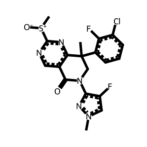 Cn1cc(F)c(N2CC(C)(c3cccc(Cl)c3F)c3nc([S+](C)[O-])ncc3C2=O)n1